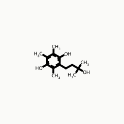 Cc1c(C)c(O)c(CCC(C)(C)O)c(C)c1O